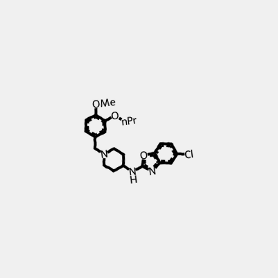 CCCOc1cc(CN2CCC(Nc3nc4cc(Cl)ccc4o3)CC2)ccc1OC